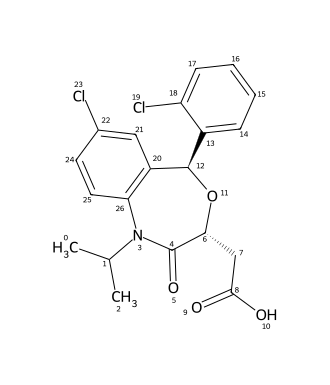 CC(C)N1C(=O)[C@@H](CC(=O)O)O[C@H](c2ccccc2Cl)c2cc(Cl)ccc21